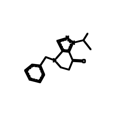 CC(C)n1ncc2c1C(=O)CCN2Cc1ccccc1